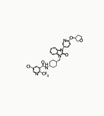 O=C(N[C@H]1CC[C@H](Cn2c(=O)n(-c3ccc(O[C@H]4CCOC4)nc3)c3ccccc32)CC1)c1cc(Cl)cnc1C(F)(F)F